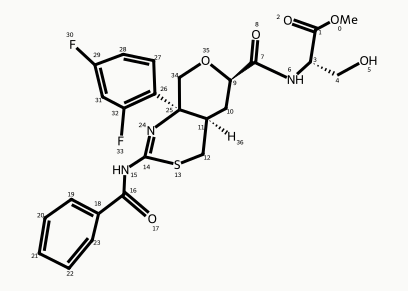 COC(=O)[C@H](CO)NC(=O)[C@H]1C[C@H]2CSC(NC(=O)c3ccccc3)=N[C@@]2(c2ccc(F)cc2F)CO1